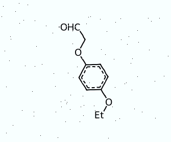 CCOc1ccc(OC[C]=O)cc1